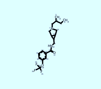 CCC(C)CN1CC2C(CNC(=O)c3cccc(OC(F)(F)F)c3)C2C1